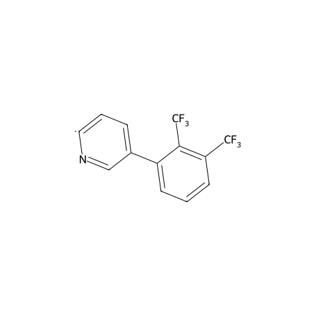 FC(F)(F)c1cccc(-c2cc[c]nc2)c1C(F)(F)F